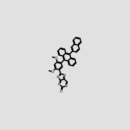 COc1cc(OC)c(-c2c3ccccc3c(-c3ccc4ccccc4c3)c3ccccc23)cc1C1=NC2=NC(=O)N=CC2=N1